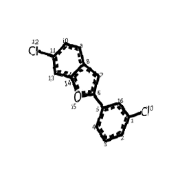 Clc1cccc(-c2cc3ccc(Cl)cc3o2)c1